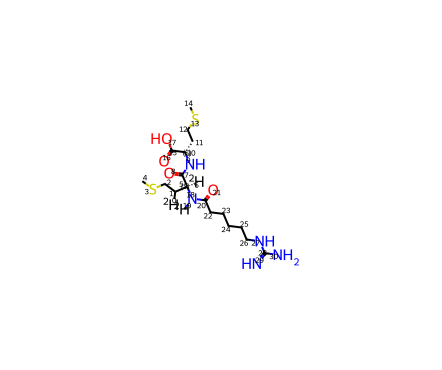 [2H]C(CSC)[C@@]([2H])(C(=O)N[C@@H](CCSC)C(=O)O)N([2H])C(=O)CCCCCNC(=N)N